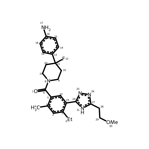 CCc1cc(C)c(C(=O)N2CCC(F)(c3ccc(N)cc3)CC2)cc1-c1nnc(CCOC)[nH]1